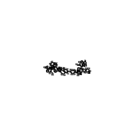 COC(=O)N[C@H](C(=O)N1C[C@]2(CCCOC2)C[C@H]1c1ncc(-c2ccc(-c3ccc4c(c3)CCc3nc([C@@H]5C[C@@H]6CCCC[C@@H]6N5C(=O)[C@@H](NC(=O)OC)C(C)C)[nH]c3-4)cc2)[nH]1)C(C)C